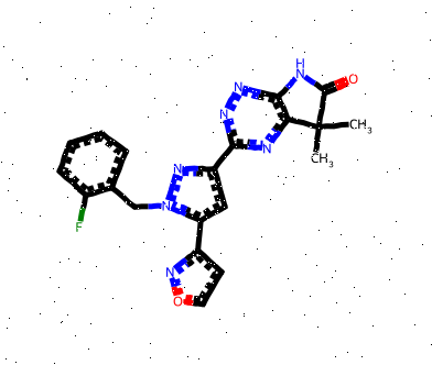 CC1(C)C(=O)Nc2nnc(-c3cc(-c4ccon4)n(Cc4ccccc4F)n3)nc21